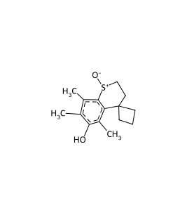 Cc1c(C)c2c(c(C)c1O)C1(CCC1)CC[S+]2[O-]